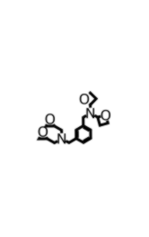 c1cc(CN(CC2CO2)CC2CO2)cc(CN(C2CCO2)C2CCO2)c1